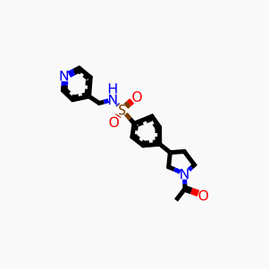 CC(=O)N1CCC(c2ccc(S(=O)(=O)NCc3ccncc3)cc2)C1